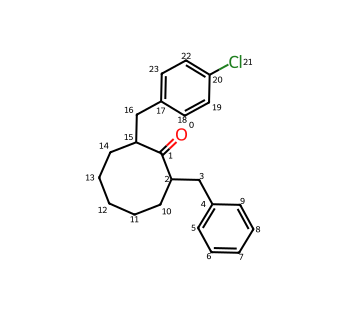 O=C1C(Cc2ccccc2)CCCCCC1Cc1ccc(Cl)cc1